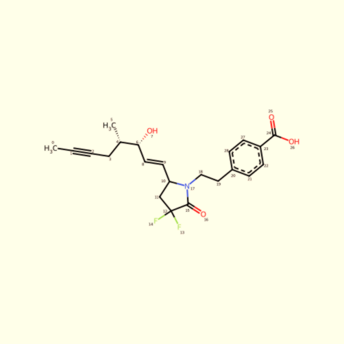 CC#CC[C@H](C)[C@H](O)/C=C/C1CC(F)(F)C(=O)N1CCc1ccc(C(=O)O)cc1